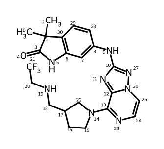 CC1(C)C(=O)Nc2cc(Nc3nc4c(N5CCC(CNCC(F)(F)F)C5)nccn4n3)ccc21